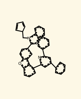 C1=CC(Cn2c(-c3ccc4oc5cccc(-c6cc(-c7ccccc7)cc(-c7ccccc7)n6)c5c4c3)nc3ccccc32)C=C1